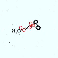 C=CC(=O)OCCCOC(=O)Oc1ccccc1-c1ccccc1